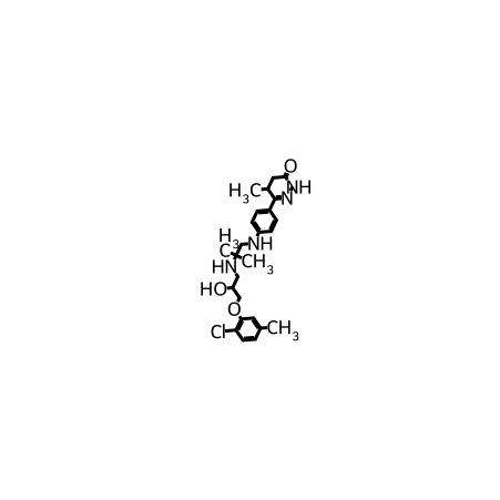 Cc1ccc(Cl)c(OCC(O)CNC(C)(C)CNc2ccc(C3=NNC(=O)CC3C)cc2)c1